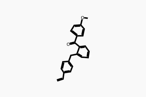 C=Cc1ccc(Cc2ccccc2C(=O)c2ccc(OC)cc2)cc1